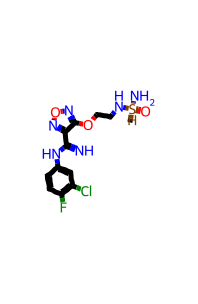 C[SH](N)(=O)NCCOc1nonc1C(=N)Nc1ccc(F)c(Cl)c1